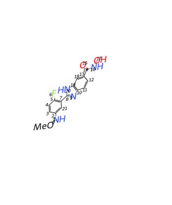 CONc1ccc(F)c(-c2nc3ccc(C(=O)NO)cc3[nH]2)c1